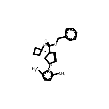 Cc1ccc(C)n1[C@@H]1C=C[C@@](C(=O)OCc2ccccc2)(C2(O)CCC2)C1